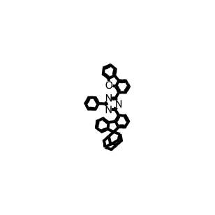 c1ccc(-c2nc(-c3cccc4c3-c3ccccc3C43C4CC5CC(C4)CC3C5)nc(-c3cccc4c3oc3ccccc34)n2)cc1